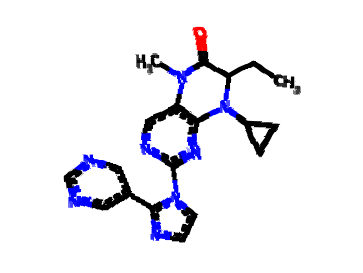 CCC1C(=O)N(C)c2cnc(-n3ccnc3-c3cncnc3)nc2N1C1CC1